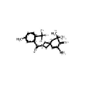 Cc1ccc(C(F)(F)F)c(C(=O)N2CC3(C=C(N)C(=O)C(C)(C)C3)C2)c1